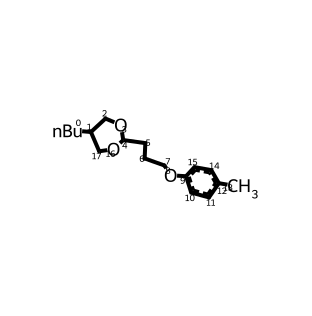 [CH2+][CH-]CCC1COC(CCCOc2ccc(C)cc2)OC1